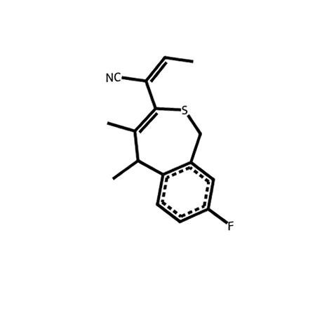 C/C=C(/C#N)C1=C(C)C(C)c2ccc(F)cc2CS1